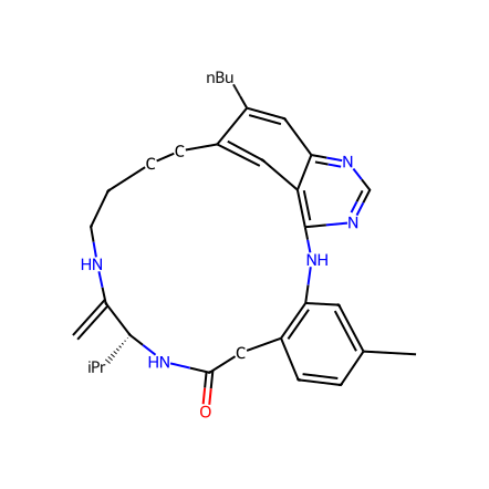 C=C1NCCCCc2cc3c(ncnc3cc2CCCC)Nc2cc(C)ccc2CC(=O)N[C@@H]1C(C)C